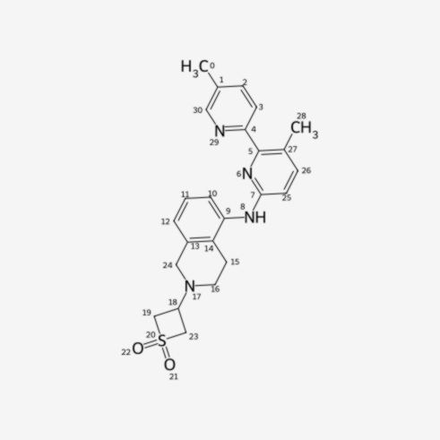 Cc1ccc(-c2nc(Nc3cccc4c3CCN(C3CS(=O)(=O)C3)C4)ccc2C)nc1